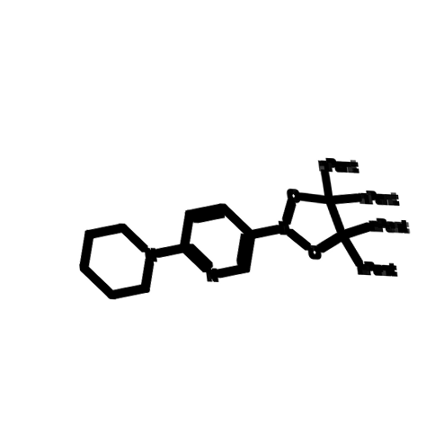 CCCCCC1(CCCCC)OB(c2ccc(N3CCCCC3)nc2)OC1(CCCCC)CCCCC